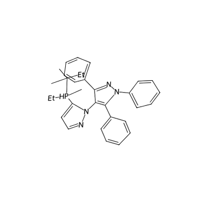 CCC(C)(C)[PH](C)(CC)c1ccnn1-c1c(-c2ccccc2)nn(-c2ccccc2)c1-c1ccccc1